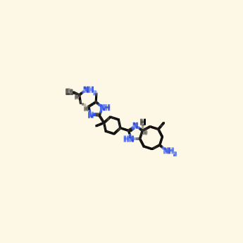 CC[C@@H](N)C[C@H]1N=C(C2(C)CCC(C3=N[C@H]4CC(C)CC(N)CCC4N3)CC2)NC1C